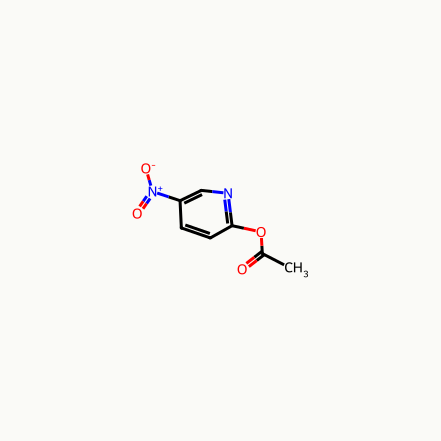 CC(=O)Oc1ccc([N+](=O)[O-])cn1